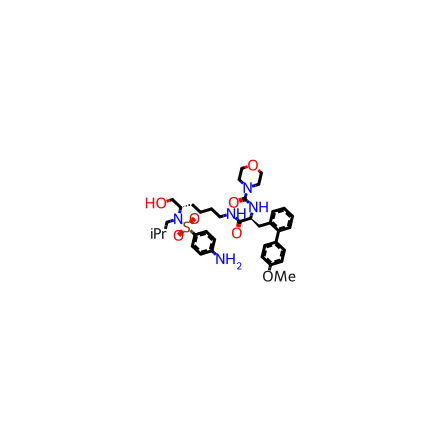 COc1ccc(-c2ccccc2C[C@H](NC(=O)N2CCOCC2)C(=O)NCCCC[C@@H](CO)N(CC(C)C)S(=O)(=O)c2ccc(N)cc2)cc1